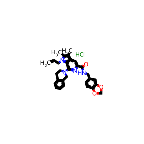 C=CCn1c(C)c(C)c2cc(C(=O)NCc3ccc4c(c3)OCO4)nc(N3CCc4ccccc4C3)c21.Cl